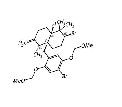 C=C1CC[C@@H]2C(C)(C)[C@@H](Br)CC[C@]2(Cc2cc(OCOC)c(Br)cc2OCOC)[C@@H]1C